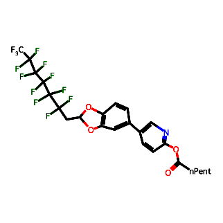 CCCCCC(=O)Oc1ccc(-c2ccc3c(c2)OC(CC(F)(F)C(F)(F)C(F)(F)C(F)(F)C(F)(F)C(F)(F)F)O3)cn1